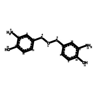 Nc1cc(SOSc2ccc(O)c(N)c2)ccc1O